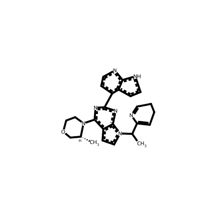 CC(C1=CCCC=N1)n1ccc2c(N3CCOC[C@H]3C)nc(-c3ccnc4[nH]ccc34)nc21